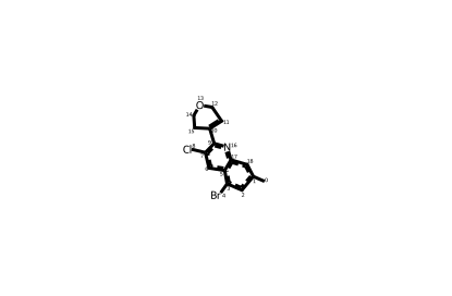 Cc1cc(Br)c2cc(Cl)c(C3=CCOCC3)nc2c1